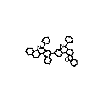 c1ccc(-c2nc3c4ccccc4ccc3c3c2cc(-c2ccc4c(c2)nc(-c2ccccc2)c2ccc5c6ccccc6oc5c24)c2ccccc23)cc1